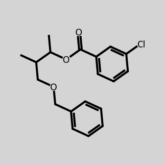 CC(COCc1ccccc1)C(C)OC(=O)c1cccc(Cl)c1